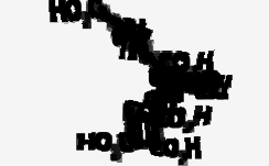 CC(C)(C)S(F)(c1ccc(C(=O)NC(CNC(=O)CCC(C(=O)O)N2CCN(CC(=O)O)CCN(CC(=O)O)CCN(CC(=O)O)CC2)C(=O)N[C@H](CCCCNC(=O)CCC(=O)NCCCCC(=O)O)C(=O)O)cc1)C(C)(C)C